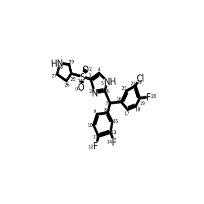 O=S(=O)(c1c[nH]c(C(c2ccc(F)c(F)c2)c2ccc(F)c(Cl)c2)n1)C1CCNC1